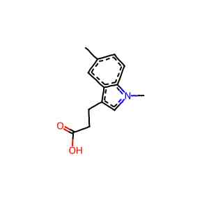 Cc1ccc2c(c1)c(CCC(=O)O)cn2C